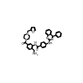 NCc1ccc(C(=O)N2CCN(Cc3ccco3)CC2)cc1NC(=O)c1ccc(Nc2nc(-c3ccccc3)c3ccccc3n2)cc1